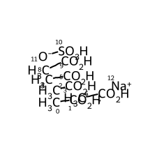 CC(=O)O.CC(=O)O.CC(=O)O.CC(=O)O.CC(=O)O.O=S(=O)([O-])O.[Na+]